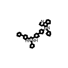 C1=C(c2ccc(-c3ccc(-n4c(-c5ccccc5)nc5c6ccccc6c6ncccc6c54)cc3)cc2)NC(c2ccccc2)NC1c1ccc(-c2ccccc2)cc1